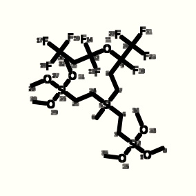 CO[Si](CC[Si](C)(CCC(F)(OC(F)(F)CC(F)(F)F)C(F)(F)F)CC[Si](OC)(OC)OC)(OC)OC